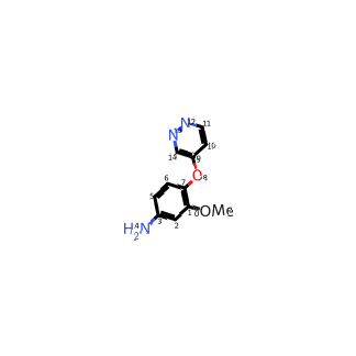 COc1cc(N)ccc1Oc1ccnnc1